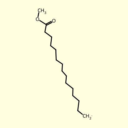 [CH2]CCCCCCCCCCCCCC(=O)OC